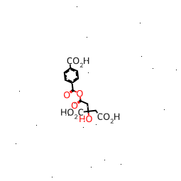 O=C(O)CC(O)(CC(=O)OC(=O)c1ccc(C(=O)O)cc1)C(=O)O